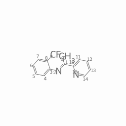 CC(=Nc1ccccc1C(F)(F)F)c1ccccn1